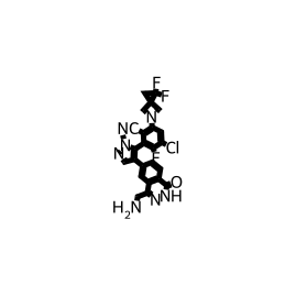 Cn1ncc(-c2ccc3c(=O)[nH]nc(CN)c3c2)c1-c1c(F)c(Cl)cc(N2CC3(C2)CC3(F)F)c1C#N